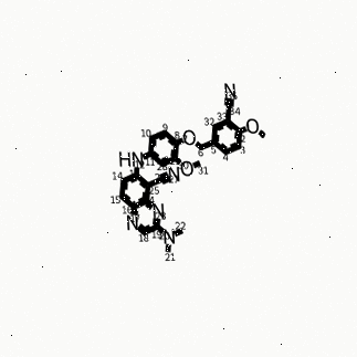 COc1ccc(COc2ccc(Nc3ccc4ncc(N(C)C)nc4c3C#N)cc2OC)cc1C#N